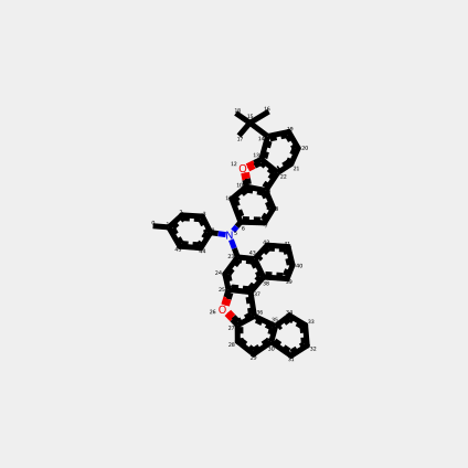 Cc1ccc(N(c2ccc3c(c2)oc2c(C(C)(C)C)cccc23)c2cc3oc4ccc5ccccc5c4c3c3ccccc23)cc1